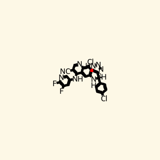 [2H][C@](Nc1cc(Cl)c2ncc(C#N)c(Nc3cnc(F)c(F)c3)c2c1)(c1ccc(Cl)cc1)c1c[nH]nn1